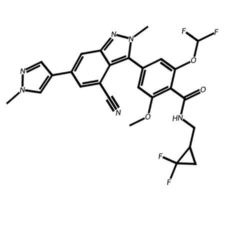 COc1cc(-c2c3c(C#N)cc(-c4cnn(C)c4)cc3nn2C)cc(OC(F)F)c1C(=O)NCC1CC1(F)F